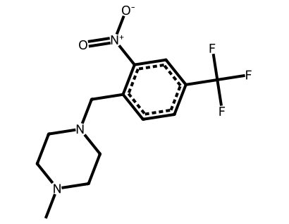 CN1CCN(Cc2ccc(C(F)(F)F)cc2[N+](=O)[O-])CC1